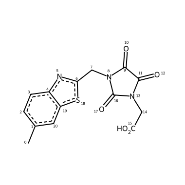 Cc1ccc2nc(CN3C(=O)C(=O)N(CC(=O)O)C3=O)sc2c1